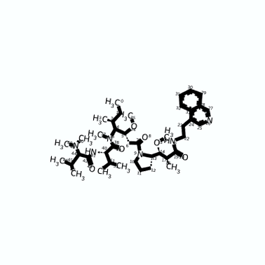 CC[C@H](C)C([C@@H](CC(=O)N1CCC[C@H]1[C@H](OC)[C@@H](C)C(=O)NCCc1cncc2ccccc12)OC)N(C)C(=O)[C@@H](NC(=O)C(C(C)C)N(C)C)C(C)C